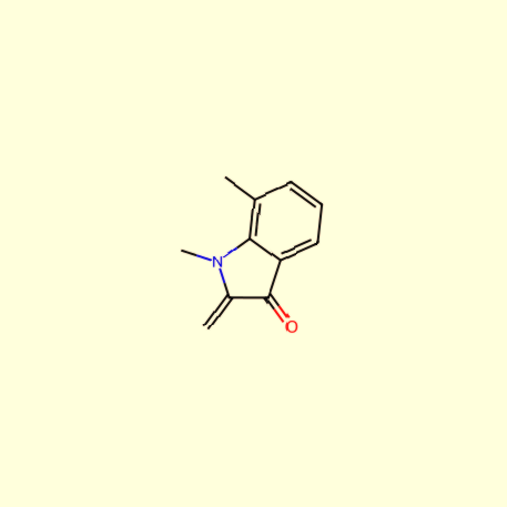 C=C1C(=O)c2cccc(C)c2N1C